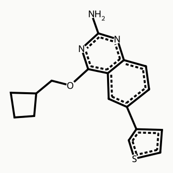 Nc1nc(OCC2CCC2)c2cc(-c3ccsc3)ccc2n1